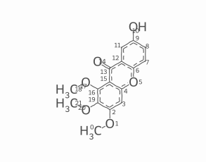 COc1cc2oc3ccc(O)cc3c(=O)c2c(OC)c1OC